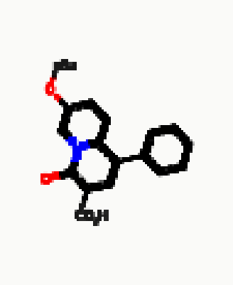 CCCCOc1ccc2c(-c3ccccc3)cc(C(=O)O)c(=O)n2c1